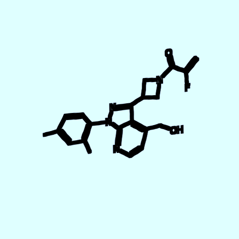 C=C(F)C(=O)N1CC(c2nn(-c3ccc(C)cc3C)c3nccc(CO)c23)C1